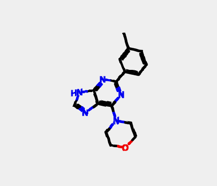 Cc1cccc(-c2nc(N3CCOCC3)c3nc[nH]c3n2)c1